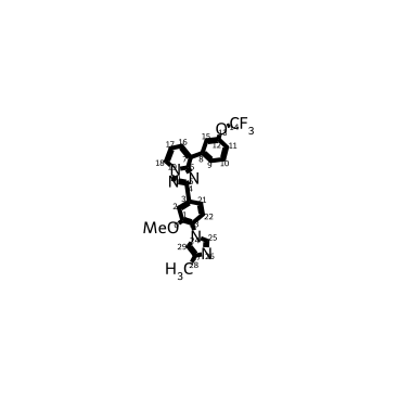 COc1cc(-c2nc3c(-c4cccc(OC(F)(F)F)c4)cccn3n2)ccc1-n1cnc(C)c1